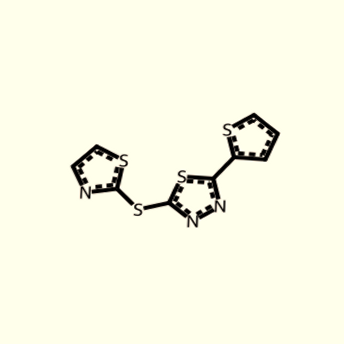 c1csc(-c2nnc(Sc3nccs3)s2)c1